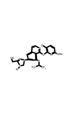 CCN1CN(c2cc(OC(C)C(F)(F)F)c3c(Oc4nc(OC)ccc4Cl)nccc3c2)N=C1CO